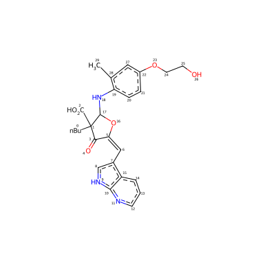 CCCCC1(C(=O)O)C(=O)C(=Cc2c[nH]c3ncccc23)OC1Nc1ccc(OCCO)cc1C